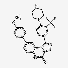 COc1ccc(-c2ccc3[nH]c(=O)c4cnc(-c5ccc(N6CCNCC6)c(C(F)(F)F)c5)n4c3c2)cc1